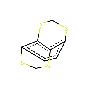 c1cc2c3c(c1SCS3)SCS2